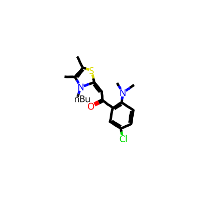 CCCCN1C(=CC(=O)c2cc(Cl)ccc2N(C)C)SC(C)=C1C